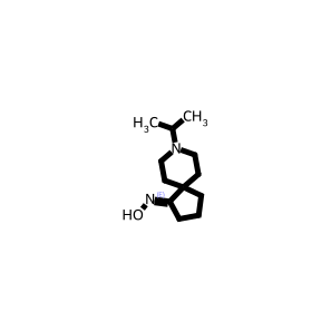 CC(C)N1CCC2(CCC/C2=N\O)CC1